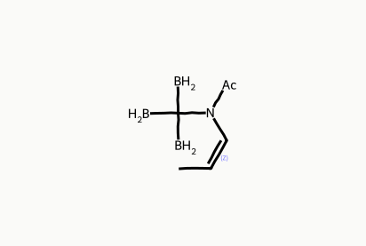 BC(B)(B)N(/C=C\C)C(C)=O